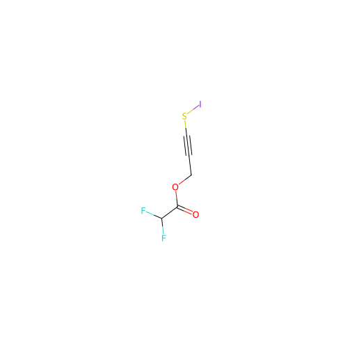 O=C(OCC#CSI)C(F)F